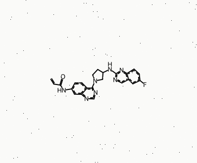 C=CC(=O)Nc1ccc2c(N3CCC(Nc4ncc5cc(F)ccc5n4)C3)ncnc2c1